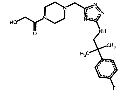 CC(C)(CNc1nc(CN2CCN(C(=O)CO)CC2)ns1)c1ccc(F)cc1